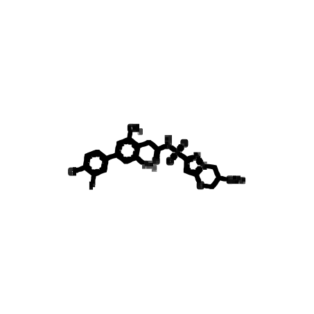 COC1COc2cc(S(=O)(=O)NC(=O)Cc3c(C)cc(-c4ccc(Cl)c(F)c4)cc3P)nn2C1